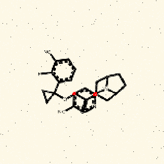 N#Cc1ccc(N2C3CCC2CN(C(=O)COC2(c4cccc(C#N)c4F)CC2)C3)nc1